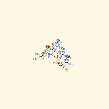 Cc1ncc(C[n+]2csc(CCO)c2C)c(N)n1.Cc1ncc(C[n+]2csc(CCO)c2C)c(N)n1.Cc1ncc(C[n+]2csc(CCO)c2C)c(N)n1.Cc1ncc(C[n+]2csc(CCO)c2C)c(N)n1.[Cl-].[Cl-].[Cl-].[Cl-].[S-2].[S-2]